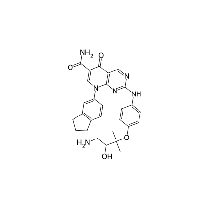 CC(C)(Oc1ccc(Nc2ncc3c(=O)c(C(N)=O)cn(-c4ccc5c(c4)CCC5)c3n2)cc1)C(O)CN